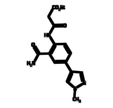 CCOC(=O)CC(=O)Nc1ccc(-c2cnn(C)c2)cc1C(N)=O